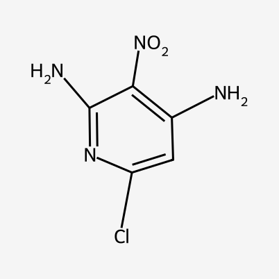 Nc1cc(Cl)nc(N)c1[N+](=O)[O-]